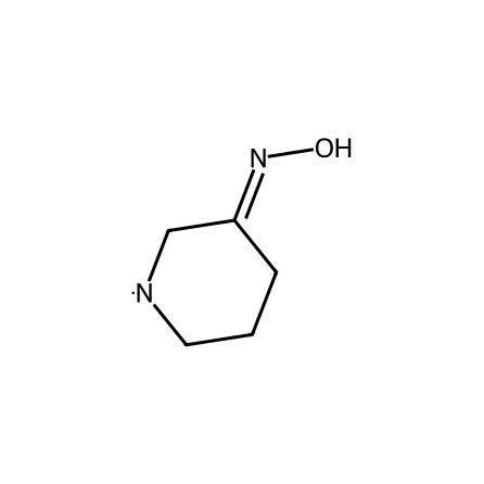 O/N=C1\CCC[N]C1